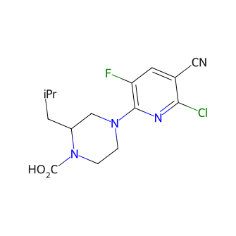 CC(C)CC1CN(c2nc(Cl)c(C#N)cc2F)CCN1C(=O)O